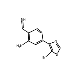 N=Cc1ccc(-c2ncsc2Br)cc1N